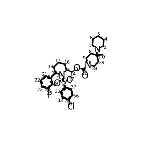 CC1(N2CCCCC2)CCN(C(=O)OCC2CCCC(c3cccc(F)c3)N2S(=O)(=O)c2ccc(Cl)cc2)CC1